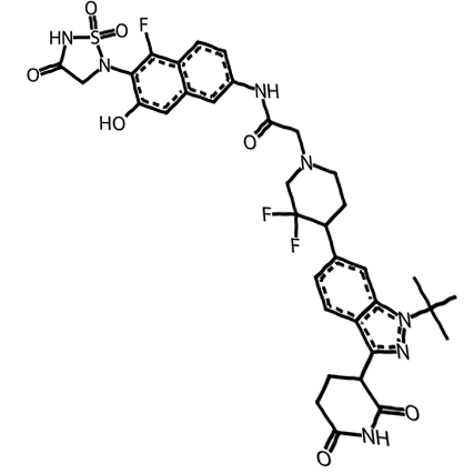 CC(C)(C)n1nc(C2CCC(=O)NC2=O)c2ccc(C3CCN(CC(=O)Nc4ccc5c(F)c(N6CC(=O)NS6(=O)=O)c(O)cc5c4)CC3(F)F)cc21